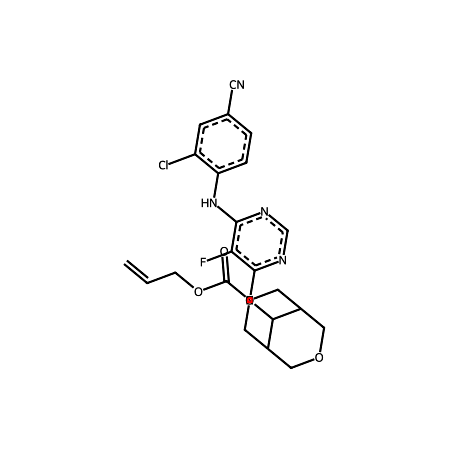 C=CCOC(=O)N1CC2COCC(C1)C2Oc1ncnc(Nc2ccc(C#N)cc2Cl)c1F